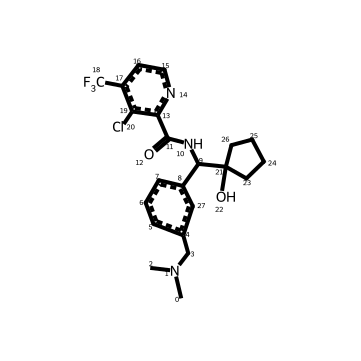 CN(C)Cc1cccc(C(NC(=O)c2nccc(C(F)(F)F)c2Cl)C2(O)CCCC2)c1